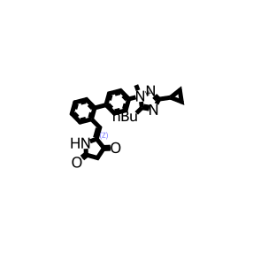 CCCCC1=NC(C2CC2)=N[N+]1(C)c1ccc(-c2ccccc2/C=C2\NC(=O)CC2=O)cc1